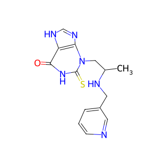 CC(Cn1c(=S)[nH]c(=O)c2[nH]cnc21)NCc1cccnc1